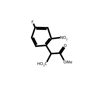 COC(=O)C(C(=O)O)c1ccc(F)cc1[N+](=O)[O-]